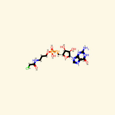 Nc1nc2c(ncn2[C@@H]2O[C@H](CPP(=O)(O)OCCCNC(=O)CCl)[C@@H](O)[C@H]2O)c(=O)[nH]1